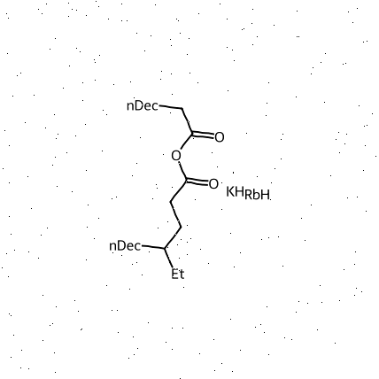 CCCCCCCCCCCC(=O)OC(=O)CCC(CC)CCCCCCCCCC.[KH].[RbH]